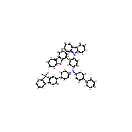 CC1(C)c2ccccc2-c2ccc(-c3ccc(N(c4ccc(-c5ccccc5)cc4)c4ccc(-n5c6ccccc6c6ccccc65)c(-c5cccc6c5oc5ccccc56)c4)cc3)cc21